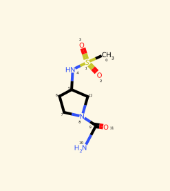 CS(=O)(=O)NC1CCN(C(N)=O)C1